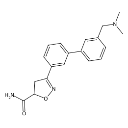 CN(C)Cc1cccc(-c2cccc(C3=NOC(C(N)=O)C3)c2)c1